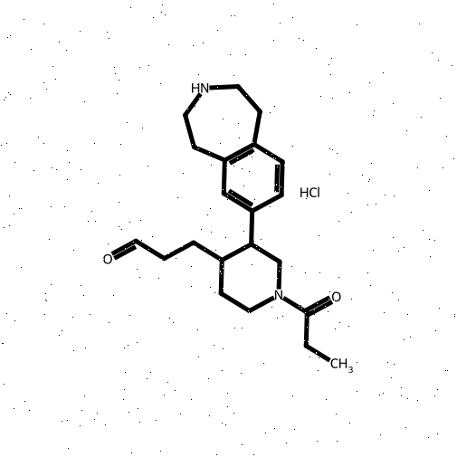 CCC(=O)N1CCC(CCC=O)C(c2ccc3c(c2)CCNCC3)C1.Cl